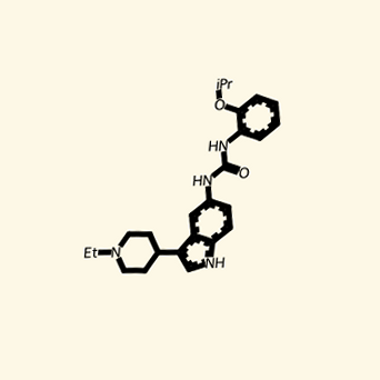 CCN1CCC(c2c[nH]c3ccc(NC(=O)Nc4ccccc4OC(C)C)cc23)CC1